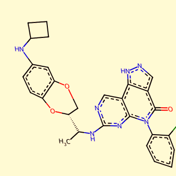 CC(Nc1ncc2c3[nH]ncc3c(=O)n(-c3ccccc3F)c2n1)[C@H]1COc2cc(NC3CCC3)ccc2O1